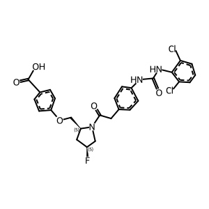 O=C(Nc1ccc(CC(=O)N2C[C@@H](F)C[C@H]2COc2ccc(C(=O)O)cc2)cc1)Nc1c(Cl)cccc1Cl